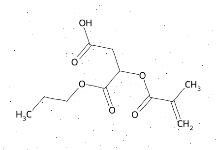 C=C(C)C(=O)OC(CC(=O)O)C(=O)OCCC